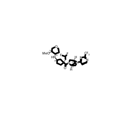 CO[C@@H]1COCC[C@@H]1N[C@@H]1CC[C@](CC(F)F)(C(=O)N2C[C@@H]3C[C@H]2CN3c2ccnc(C(F)(F)F)n2)C1